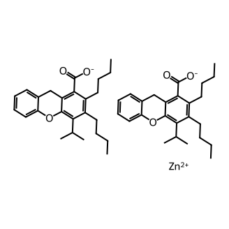 CCCCc1c(CCCC)c(C(C)C)c2c(c1C(=O)[O-])Cc1ccccc1O2.CCCCc1c(CCCC)c(C(C)C)c2c(c1C(=O)[O-])Cc1ccccc1O2.[Zn+2]